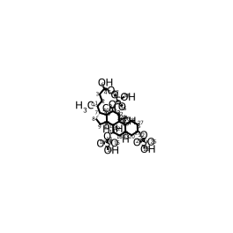 C[C@H](CCC(=O)O)[C@H]1CC[C@H]2[C@@H]3[C@H](OS(=O)(=O)O)C[C@@H]4C[C@H](OS(=O)(=O)O)CC[C@]4(C)[C@H]3C[C@H](OS(=O)(=O)O)[C@]12C